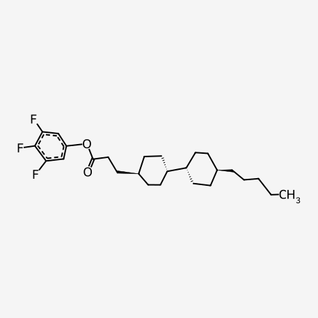 CCCCC[C@H]1CC[C@H]([C@H]2CC[C@H](CCC(=O)Oc3cc(F)c(F)c(F)c3)CC2)CC1